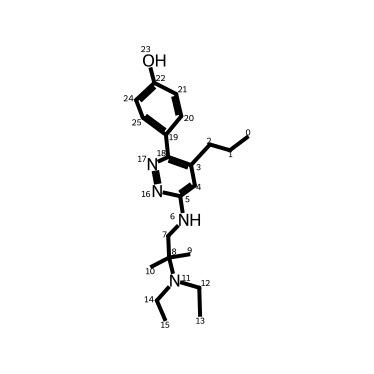 CCCc1cc(NCC(C)(C)N(CC)CC)nnc1-c1ccc(O)cc1